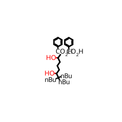 CCCCC(CCCC)(CCCC)C(O)CCCC(C)O.O=C(O)c1ccccc1.O=C(O)c1ccccc1